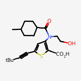 CC1CCC(C(=O)N(CCO)c2cc(C#CC(C)(C)C)sc2C(=O)O)CC1